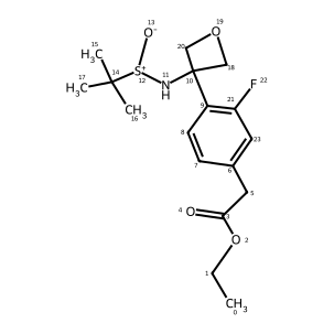 CCOC(=O)Cc1ccc(C2(N[S+]([O-])C(C)(C)C)COC2)c(F)c1